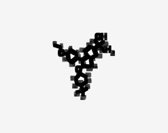 CCOc1ccc(-c2c(OC3CCC(C(C)(C)C)CC3)ccc3cc(C(C)(N)CO)ccc23)cc1